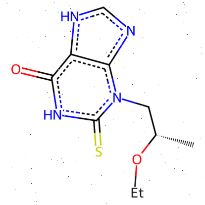 CCO[C@@H](C)Cn1c(=S)[nH]c(=O)c2[nH]cnc21